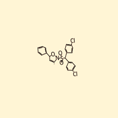 O=S(=O)(C(c1ccc(Cl)cc1)c1ccc(Cl)cc1)N1[C]=CC(c2ccccc2)O1